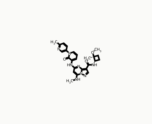 CNc1cc(Nc2cccn(-c3ccc(C)nc3)c2=O)nc2c(C(=O)N[C@H]3CC[C@]3(C)OC)cnn12